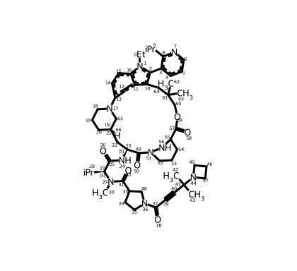 CCn1c(-c2cccnc2C(C)C)c2c3cc(ccc31)N1CCC[C@@H](C[C@H](NC(=O)[C@H](C(C)C)N(C)C(=O)C3CCN(C(=O)C#CC(C)(C)N4CCC4)C3)C(=O)N3CCCC(N3)C(=O)OCC(C)(C)C2)C1